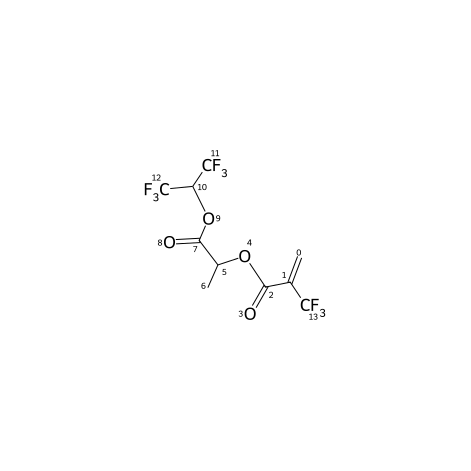 C=C(C(=O)OC(C)C(=O)OC(C(F)(F)F)C(F)(F)F)C(F)(F)F